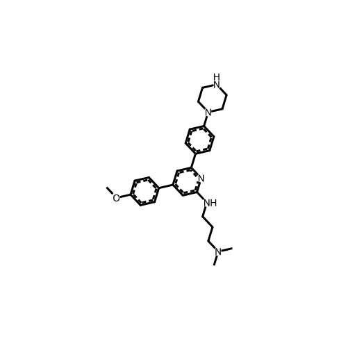 COc1ccc(-c2cc(NCCCN(C)C)nc(-c3ccc(N4CCNCC4)cc3)c2)cc1